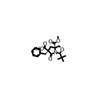 COC(=O)[C@@]12COC(C(C)(C)C)N1C(=O)[C@](Cc1ccccc1)(C(=O)O)C2